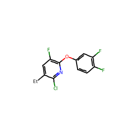 CCc1cc(F)c(Oc2ccc(F)c(F)c2)nc1Cl